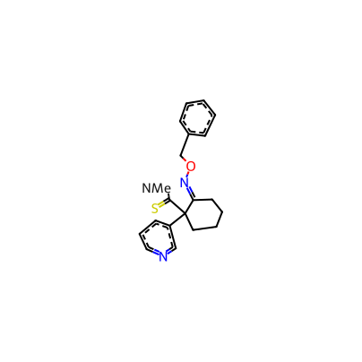 CNC(=S)C1(c2cccnc2)CCCC/C1=N\OCc1ccccc1